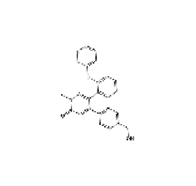 Cn1nc(-c2ccccc2Oc2ccccc2)c(-c2ccc(CO)cc2)cc1=O